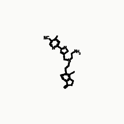 C=C1CCc2c1ccc(CCN(CCN)CC1=CC(c3cc(C)c(C#N)cn3)=NC1)c2C